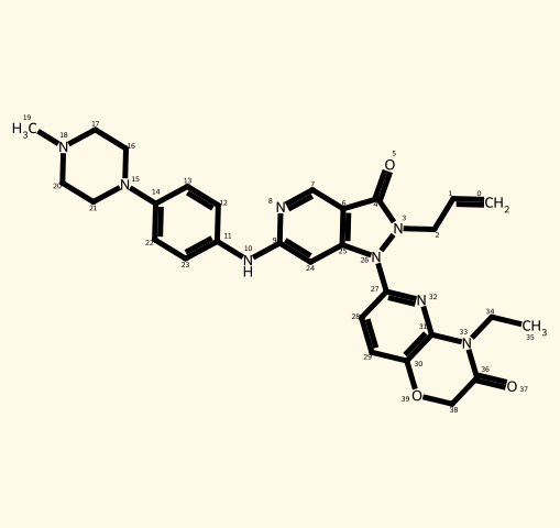 C=CCn1c(=O)c2cnc(Nc3ccc(N4CCN(C)CC4)cc3)cc2n1-c1ccc2c(n1)N(CC)C(=O)CO2